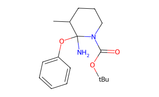 CC1CCCN(C(=O)OC(C)(C)C)C1(N)Oc1ccccc1